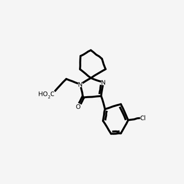 O=C(O)CN1C(=O)C(c2cccc(Cl)c2)=NC12CCCCC2